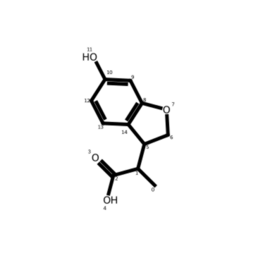 CC(C(=O)O)C1COc2cc(O)ccc21